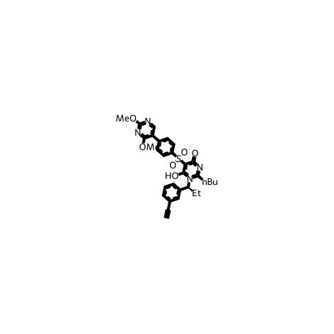 C#Cc1cccc([C@H](CC)n2c(CCCC)nc(=O)c(S(=O)(=O)c3ccc(-c4cnc(OC)nc4OC)cc3)c2O)c1